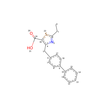 CCc1nc(Cc2ccc(-c3ccccc3)cc2)c(C(=O)O)s1